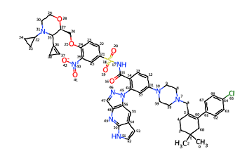 CC1(C)CCC(CN2CCN(c3ccc(C(=O)NS(=O)(=O)c4ccc(OC[C@@H]5OCCN(C6CC6)C5C5=CC5)c([N+](=O)[O-])c4)c(-n4ncc5nc6[nH]ccc6cc54)c3)CC2)=C(c2ccc(Cl)cc2)C1